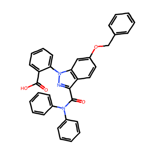 O=C(O)c1ccccc1-n1nc(C(=O)N(c2ccccc2)c2ccccc2)c2ccc(OCc3ccccc3)cc21